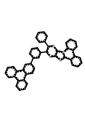 c1ccc(-c2nc3c(nc2-c2cccc(-c4ccc5c6ccccc6c6ccccc6c5c4)c2)nc2c4ccccc4c4ccccc4n32)cc1